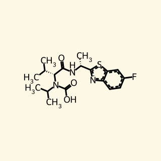 CC(C)[C@H](C(=O)N[C@H](C)c1nc2ccc(F)cc2s1)N(C(=O)O)C(C)C